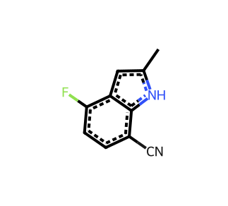 Cc1cc2c(F)ccc(C#N)c2[nH]1